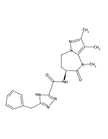 Cc1nn2c(c1C)N(C)C(=O)[C@@H](NC(=O)c1nnc(Cc3ccccc3)[nH]1)CC2